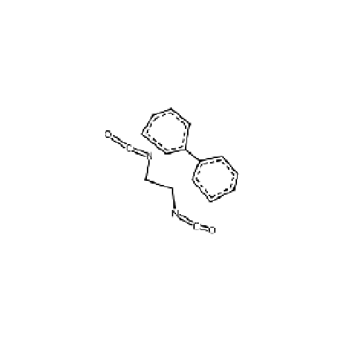 O=C=NCCN=C=O.c1ccc(-c2ccccc2)cc1